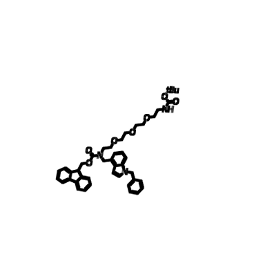 CC(C)(C)OC(=O)NCCOCCOCCOCCN(Cc1cccc2c1ccn2Cc1ccccc1)C(=O)OCC1c2ccccc2-c2ccccc21